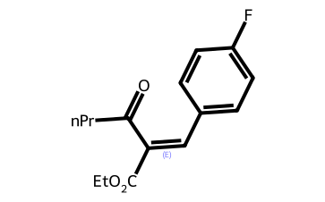 CCCC(=O)/C(=C\c1ccc(F)cc1)C(=O)OCC